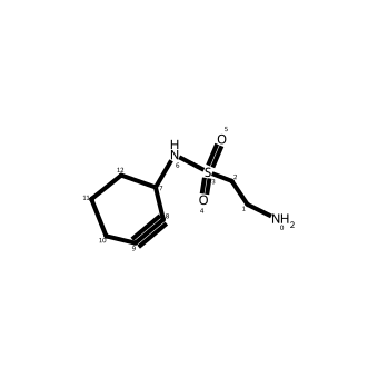 NCCS(=O)(=O)NC1C#CCCC1